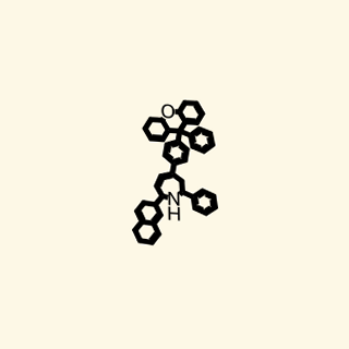 C1=CC(C2C=C3C=CCCC3=CC2)NC(c2ccccc2)CC=1c1ccc(C2(c3ccccc3)C3=CC=CCC3OC3CCC=CC32)cc1